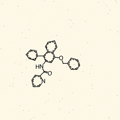 O=C(Nc1cc(OCc2ccccc2)c2ccccc2c1-c1ccccc1)c1ccccn1